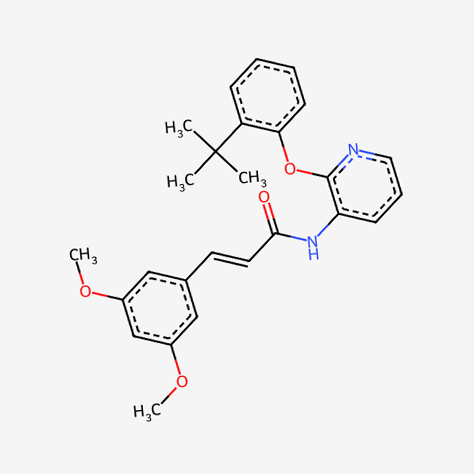 COc1cc(/C=C/C(=O)Nc2cccnc2Oc2ccccc2C(C)(C)C)cc(OC)c1